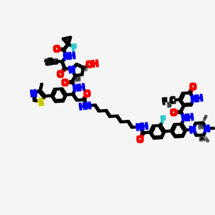 Cc1ncsc1-c1ccc(C(CC(=O)NCCCCCCCCNC(=O)c2ccc(-c3ccc(N4C[C@@H](C)N(C)[C@@H](C)C4)c(NC(=O)c4c[nH]c(=O)cc4C(F)(F)F)c3)c(F)c2)NC(=O)[C@@H]2C[C@@H](O)CN2C(=O)C(NC(=O)C2(F)CC2)C(C)(C)C)cc1